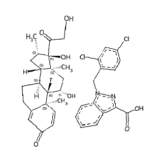 C[C@H]1C[C@H]2[C@@H]3CCC4=CC(=O)C=C[C@]4(C)[C@@]3(F)[C@@H](O)C[C@]2(C)[C@@]1(O)C(=O)CO.O=C(O)c1nn(Cc2ccc(Cl)cc2Cl)c2ccccc12